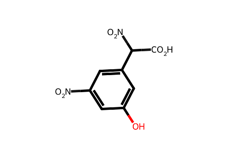 O=C(O)C(c1cc(O)cc([N+](=O)[O-])c1)[N+](=O)[O-]